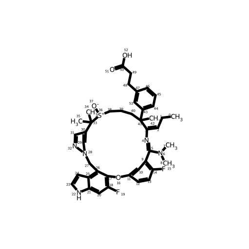 CC/C=C1/N=C(\N(C)C)c2cc(ccc2F)Oc2c(F)cc3[nH]ccc3c2Cn2cc(cn2)C(C)(C)[S+]([O-])CCCC1(C)c1cccc(CCC(=O)O)c1